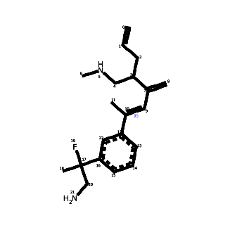 C=CCC(CNC)C(=C)/C=C(\C)c1cccc(C(C)(F)CN)c1